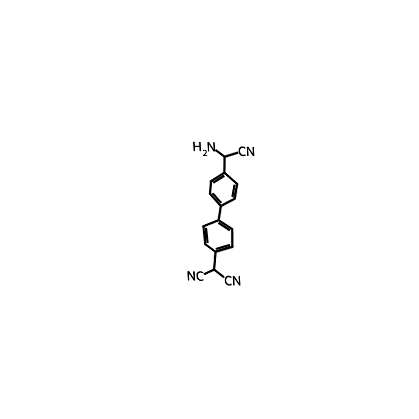 N#CC(N)c1ccc(-c2ccc(C(C#N)C#N)cc2)cc1